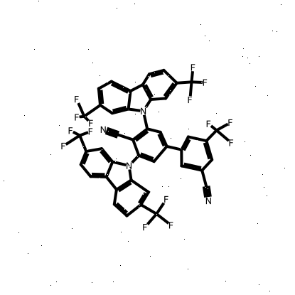 N#Cc1cc(-c2cc(-n3c4cc(C(F)(F)F)ccc4c4ccc(C(F)(F)F)cc43)c(C#N)c(-n3c4cc(C(F)(F)F)ccc4c4ccc(C(F)(F)F)cc43)c2)cc(C(F)(F)F)c1